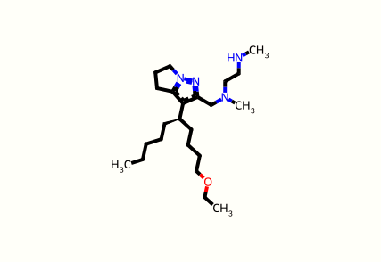 CCCCC[C@H](CCCCOCC)c1c(CN(C)CCNC)nn2c1CCC2